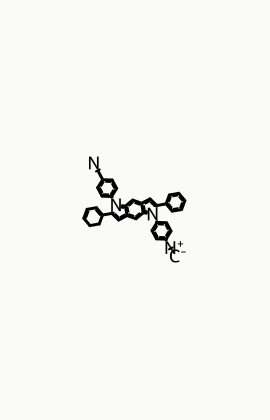 [C-]#[N+]c1ccc(-n2c(-c3ccccc3)cc3cc4c(cc(C5=CC=CCC5)n4-c4ccc(C#N)cc4)cc32)cc1